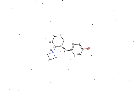 Brc1ccc(C=C2CCCCC2N2CCC2)cc1